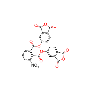 O=C1OC(=O)c2cc(OC(=O)c3cccc([N+](=O)[O-])c3C(=O)Oc3ccc4c(c3)C(=O)OC4=O)ccc21